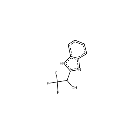 OC(c1nc2ccccc2[nH]1)C(F)(F)F